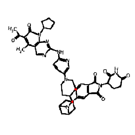 CC(=O)c1c(C)c2cnc(Nc3ccc(N4CCC(CN5C6CC5CN(c5ccc7c(c5)C(=O)N(C5CCC(=O)NC5=O)C7=O)C6)CC4)cn3)nc2n(C2CCCC2)c1=O